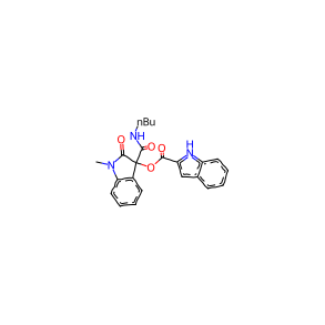 CCCCNC(=O)C1(OC(=O)c2cc3ccccc3[nH]2)C(=O)N(C)c2ccccc21